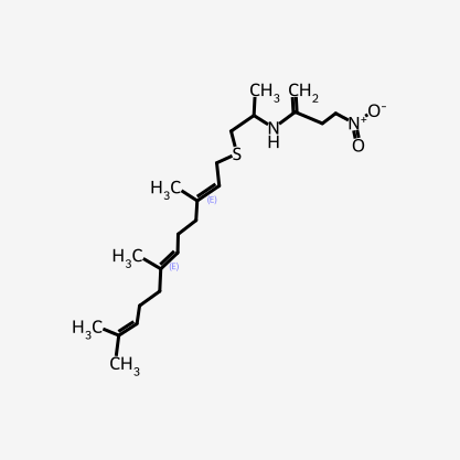 C=C(CC[N+](=O)[O-])NC(C)CSC/C=C(\C)CC/C=C(\C)CCC=C(C)C